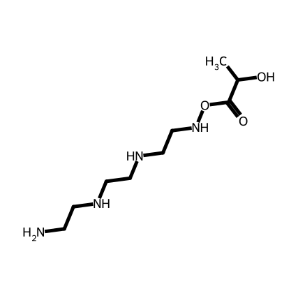 CC(O)C(=O)ONCCNCCNCCN